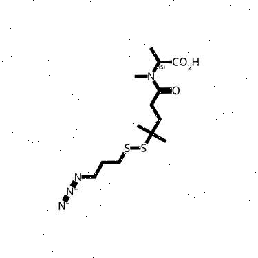 C[C@@H](C(=O)O)N(C)C(=O)CCC(C)(C)SSCCCN=[N+]=[N-]